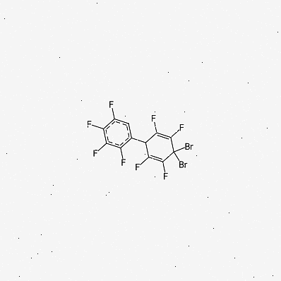 FC1=C(F)C(Br)(Br)C(F)=C(F)C1c1cc(F)c(F)c(F)c1F